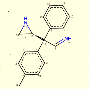 Cc1ccc(C(C=N)(c2ccccc2)[C@H]2CN2)cc1